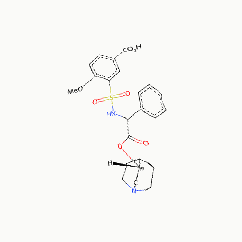 COc1ccc(C(=O)O)cc1S(=O)(=O)NC(C(=O)O[C@H]1CN2CCC1CC2)c1ccccc1